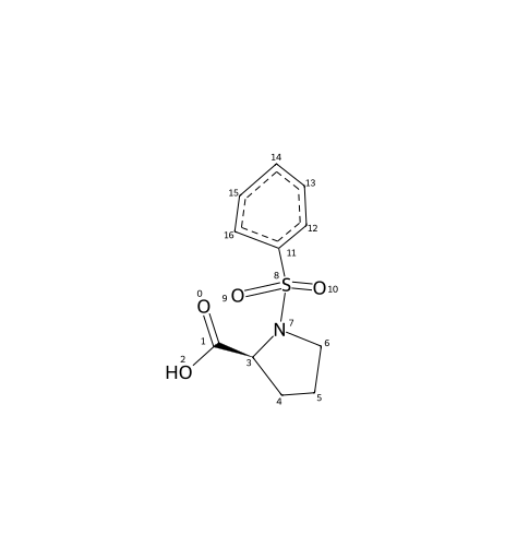 O=C(O)[C@@H]1CCCN1S(=O)(=O)c1ccccc1